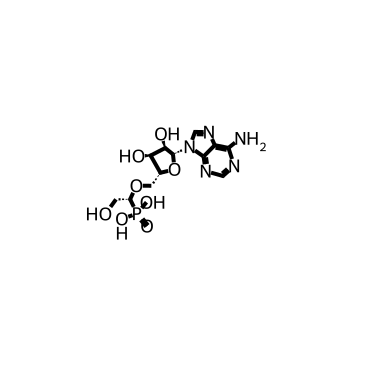 Nc1ncnc2c1ncn2[C@@H]1O[C@H](CO[C@@H](CO)P(=O)(O)O)[C@@H](O)[C@H]1O